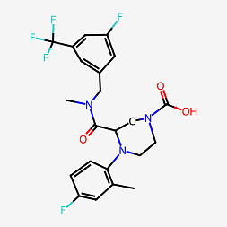 Cc1cc(F)ccc1N1CCN(C(=O)O)CC1C(=O)N(C)Cc1cc(F)cc(C(F)(F)F)c1